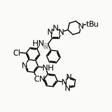 CC(C)(C)N1CCC(n2cc([C@@H](Nc3cc(Cl)c4ncc(C#N)c(Nc5cccc(-n6nccn6)c5)c4c3)c3ccccc3)nn2)CC1